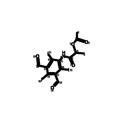 CC(=O)OC(C)C(=O)Nc1c(I)c([C]=O)c(I)c([C]=O)c1I